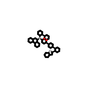 c1ccc(-c2ccccc2N(c2ccc(-c3ccc(-c4ccccc4-c4cc5ccccc5o4)cc3)cc2)c2cc3ccccc3c3ccccc23)cc1